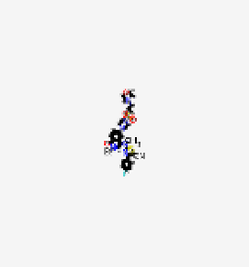 CCn1cc(N(C)c2nc(-c3ccc(F)cc3)c(C#N)s2)c2cc(N3CCN(S(=O)(=O)CCCN4CCOCC4)CC3)ccc2c1=O